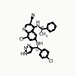 C[C@@H](Nc1c(C#N)cnc2c(Cl)cc(N[C@@H](c3ccc(Cl)cc3)c3c[nH]nn3)cc12)c1ccccc1